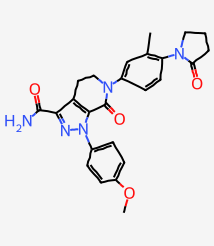 COc1ccc(-n2nc(C(N)=O)c3c2C(=O)N(c2ccc(N4CCCC4=O)c(C)c2)CC3)cc1